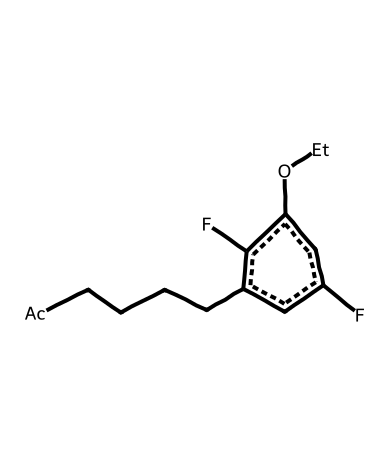 CCOc1cc(F)cc(CCCCC(C)=O)c1F